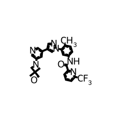 Cc1ccc(NC(=O)c2cccc(C(F)(F)F)n2)cc1-n1cc(-c2cncc(N3CC4(COC4)C3)c2)cn1